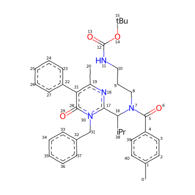 Cc1ccc(C(=O)N(CCCNC(=O)OC(C)(C)C)C(c2nc(C)c(-c3ccccc3)c(=O)n2Cc2ccccc2)C(C)C)cc1